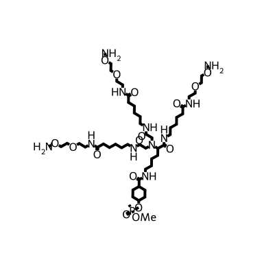 COP(C)(=O)OC1CCC(C(=O)NCCCCC(C(=O)NCCCCCC(=O)NCCOCCON)N(CC(=O)NCCCCCC(=O)NCCOCCON)CC(=O)NCCCCCC(=O)NCCOCCON)CC1